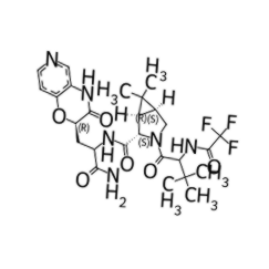 CC(C)(C)C(NC(=O)C(F)(F)F)C(=O)N1C[C@H]2[C@@H]([C@H]1C(=O)NC(C[C@H]1Oc3ccncc3NC1=O)C(N)=O)C2(C)C